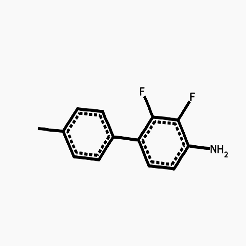 Cc1ccc(-c2ccc(N)c(F)c2F)cc1